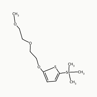 COCCOCCOc1cc[c]([Sn]([CH3])([CH3])[CH3])s1